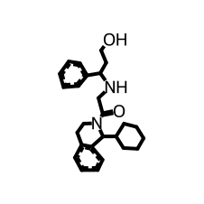 O=C(CNC(CCO)c1ccccc1)N1CCc2ccccc2C1C1CCCCC1